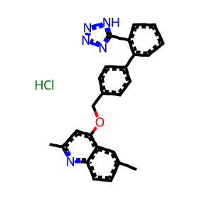 Cc1ccc2nc(C)cc(OCc3ccc(-c4ccccc4-c4nnn[nH]4)cc3)c2c1.Cl